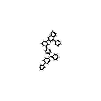 c1ccc(-c2ccc(N(c3ccccc3)c3ccc(-c4cccc5c4oc4c(-c6ccccc6)c6ccccc6cc45)cc3)cc2)cc1